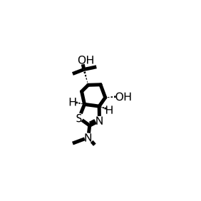 CN(C)C1=N[C@H]2[C@H](C[C@H](C(C)(C)O)C[C@@H]2O)S1